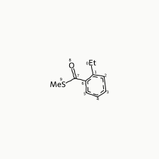 CCc1ccccc1C(=O)SC